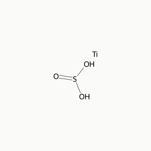 O=S(O)O.[Ti]